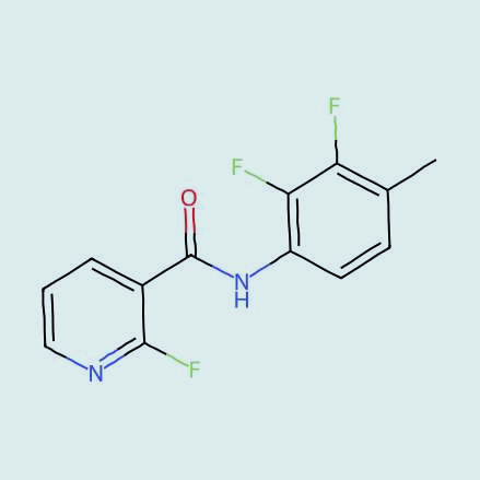 Cc1ccc(NC(=O)c2cccnc2F)c(F)c1F